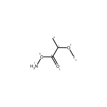 CC(OI)C(=O)ON